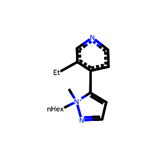 CCCCCC[N+]1(C)N=CC=C1c1ccncc1CC